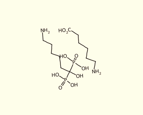 NCCCCCC(=O)O.NCCCCCC(O)(P(=O)(O)O)P(=O)(O)O